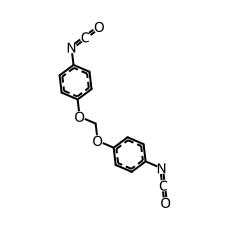 O=C=Nc1ccc(OCOc2ccc(N=C=O)cc2)cc1